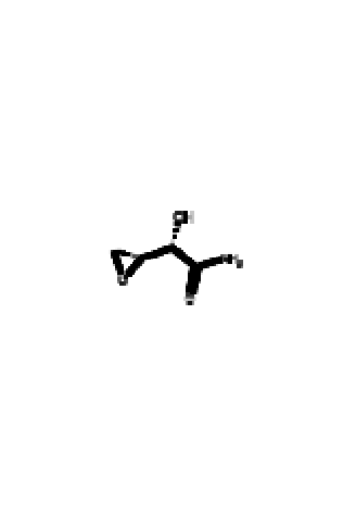 NC(=O)[C@@H](O)[C@H]1CO1